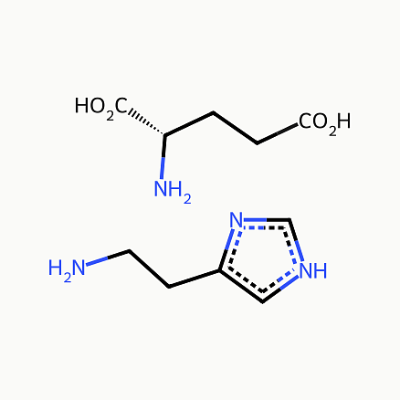 NCCc1c[nH]cn1.N[C@@H](CCC(=O)O)C(=O)O